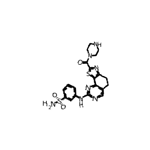 NS(=O)(=O)c1cccc(Nc2ncc3c(n2)-c2sc(C(=O)N4CCNCC4)nc2CC3)c1